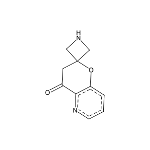 O=C1CC2(CNC2)Oc2cccnc21